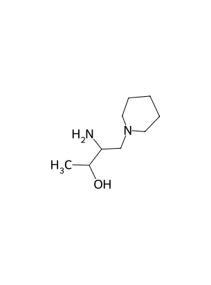 CC(O)C(N)CN1CCCCC1